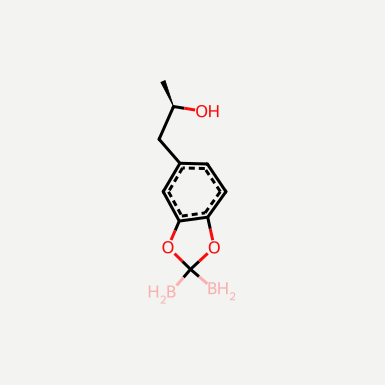 BC1(B)Oc2ccc(C[C@@H](C)O)cc2O1